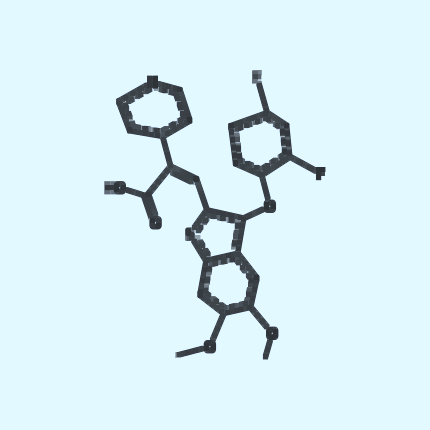 COc1cc2sc(C=C(C(=O)O)c3ccncc3)c(Oc3ccc(F)cc3F)c2cc1OC